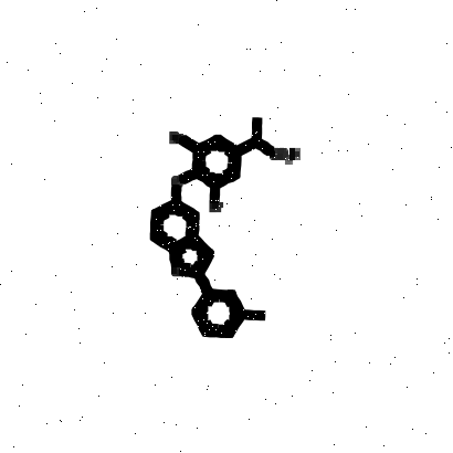 Cc1cccc(-c2cc3cc(Oc4c(Br)cc(C(C)C(=O)O)cc4Br)ccc3o2)c1